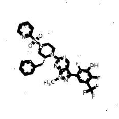 Cn1nc(-c2cc(C(F)(F)F)c(F)c(O)c2F)c2cnc(N3CCN(S(=O)(=O)c4ccccn4)C[C@H]3Cc3ccccc3)nc21